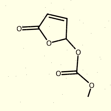 COC(=O)OC1C=CC(=O)O1